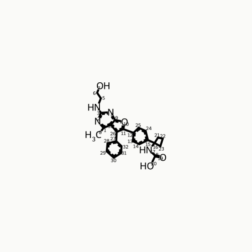 Cc1nc(NCCO)nc2oc(-c3ccc(C4(NC(=O)O)CCC4)cc3)c(-c3ccccc3)c12